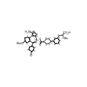 COc1ccc2c(c1)C(c1ccc(Cl)cc1)=N[C@@H](CC(=O)N1CCC(c3cccc(CN(C(=O)O)C(C)(C)C)c3)CC1)c1nnc(C)n1-2